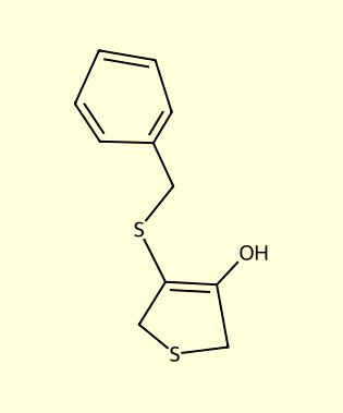 OC1=C(SCc2ccccc2)CSC1